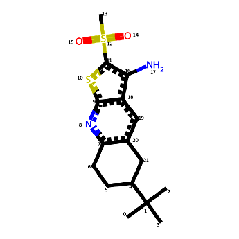 CC(C)(C)C1CCc2nc3sc(S(C)(=O)=O)c(N)c3cc2C1